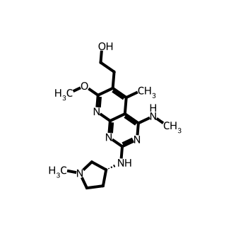 CNc1nc(N[C@@H]2CCN(C)C2)nc2nc(OC)c(CCO)c(C)c12